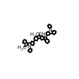 Cn1c2ccccc2c2c3cc(-c4ccc5c(c4)-c4cc6c7ccccc7n(-c7ccc8c(c7)c7ccccc7n8-c7ccccc7)c6cc4C5(C)C)ccc3n(-c3ccccc3)c21